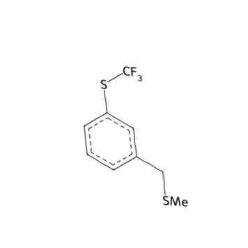 CSCc1cccc(SC(F)(F)F)c1